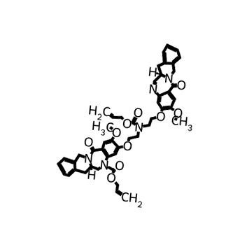 C=CCOC(=O)N(CCOc1cc2c(cc1OC)C(=O)N1Cc3ccccc3C[C@H]1C=N2)CCOc1cc2c(cc1OC)C(=O)N1Cc3ccccc3C[C@H]1CN2C(=O)OCC=C